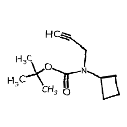 C#CCN(C(=O)OC(C)(C)C)C1CCC1